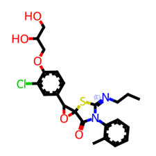 CCC/N=C1/SC2(OC2c2ccc(OCC(O)CO)c(Cl)c2)C(=O)N1c1ccccc1C